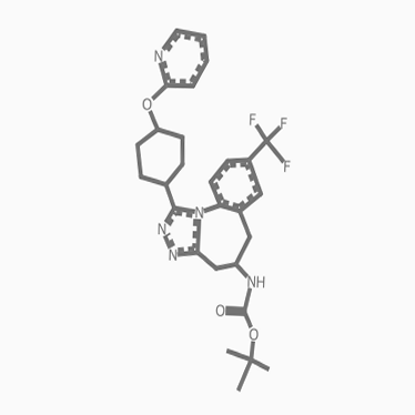 CC(C)(C)OC(=O)NC1Cc2cc(C(F)(F)F)ccc2-n2c(nnc2C2CCC(Oc3ccccn3)CC2)C1